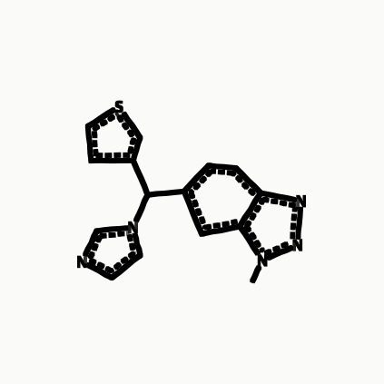 Cn1nnc2ccc(C(c3ccsc3)n3ccnc3)cc21